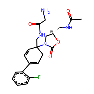 CC(=O)NC[C@H]1CN(C2(CNC(=O)CN)C=CC(c3ccccc3F)=CC2)C(=O)O1